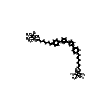 CC(C)(C)[Si](C)(C)OCCCCCCc1ccc(-c2ccc(-c3ccc(-c4ccc(CCCCCCO[Si](C)(C)C(C)(C)C)cc4)s3)s2)cc1